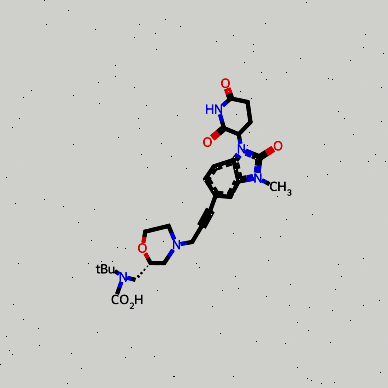 Cn1c(=O)n(C2CCC(=O)NC2=O)c2ccc(C#CCN3CCO[C@@H](CN(C(=O)O)C(C)(C)C)C3)cc21